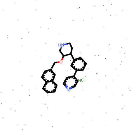 Cl.c1cc(-c2ccncc2)cc(C2CCNCC2OCc2ccc3ccccc3c2)c1